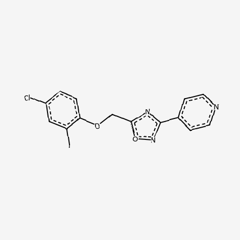 Cc1cc(Cl)ccc1OCc1nc(-c2ccncc2)no1